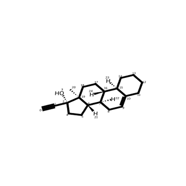 C#C[C@]1(O)CC[C@H]2[C@@H]3CC=C4CCCC[C@@H]4[C@H]3CC[C@@]21C